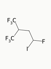 FC(I)CC(C(F)(F)F)C(F)(F)F